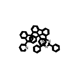 c1ccc(-c2nc(-c3ccccc3)nc(-c3cccc4c3C(c3ccccc3)(c3ccccc3)c3c-4cccc3-c3ccc(-c4ccccn4)c4ccccc34)n2)cc1